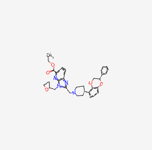 CCOC(=O)c1ccc2nc(CN3CCC(c4cccc5c4OCC(c4ccccc4)O5)CC3)n(CC3CCO3)c2n1